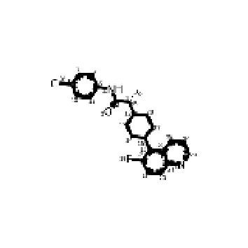 C[C@@H](C(=O)Nc1ccc(Cl)cc1)C1CCC(c2c(F)ccc3ncccc23)CC1